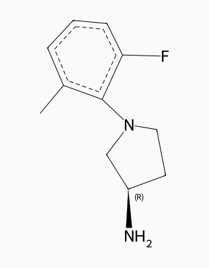 Cc1cccc(F)c1N1CC[C@@H](N)C1